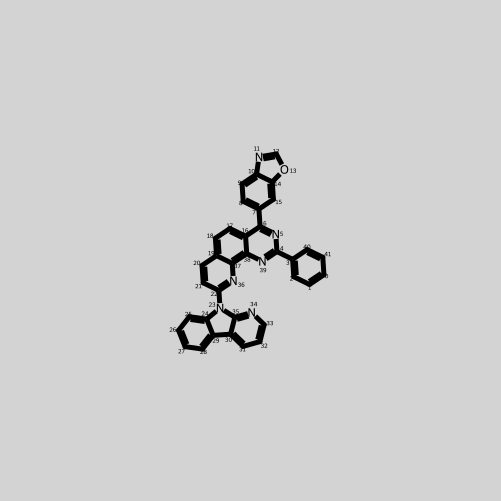 c1ccc(-c2nc(-c3ccc4ncoc4c3)c3ccc4ccc(-n5c6ccccc6c6cccnc65)nc4c3n2)cc1